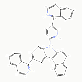 c1ccc2c(-c3ccc(-n4c5ccc(-c6nccc7ccccc67)cc5c5c6ccccc6ccc54)nc3)nccc2c1